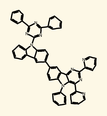 c1ccc(-c2nc(-c3ccccc3)nc(-n3c4ccccc4c4cc(-c5ccc6c(c5)c5nc(-c7ccccn7)nc(-c7ccccn7)c5n6-c5ccccc5)ccc43)n2)cc1